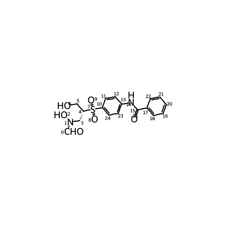 O=CN(O)C[C@H](CO)S(=O)(=O)c1ccc(NC(=O)c2ccccc2)cc1